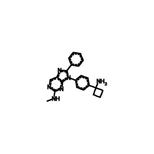 CNc1ncc2nc(-c3ccccc3)n(-c3ccc(C4(N)CCC4)cc3)c2n1